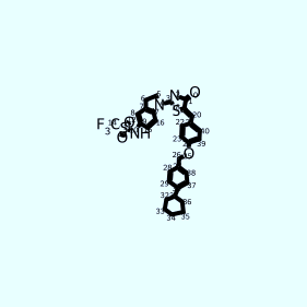 O=C1N=C(N2CCc3cc(NS(=O)(=O)C(F)(F)F)ccc32)SC1=Cc1ccc(OCc2ccc(C3CCCCC3)cc2)cc1